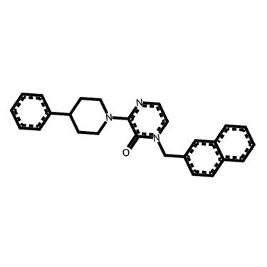 O=c1c(N2CCC(c3ccccc3)CC2)nccn1Cc1ccc2ccccc2c1